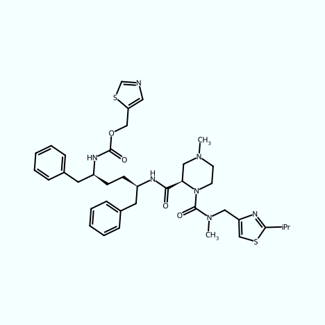 CC(C)c1nc(CN(C)C(=O)N2CCN(C)C[C@@H]2C(=O)N[C@H](CC[C@@H](Cc2ccccc2)NC(=O)OCc2cncs2)Cc2ccccc2)cs1